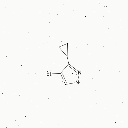 CCC1=C[N]N=C1C1CC1